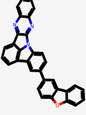 c1ccc2nc3c(nc2c1)c1cccc2c4cc(-c5ccc6oc7ccccc7c6c5)ccc4n3c21